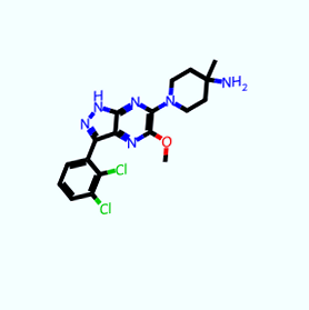 COc1nc2c(-c3cccc(Cl)c3Cl)n[nH]c2nc1N1CCC(C)(N)CC1